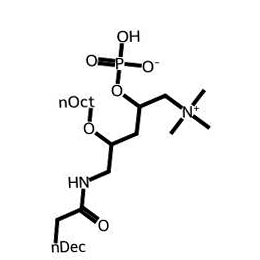 CCCCCCCCCCCC(=O)NCC(CC(C[N+](C)(C)C)OP(=O)([O-])O)OCCCCCCCC